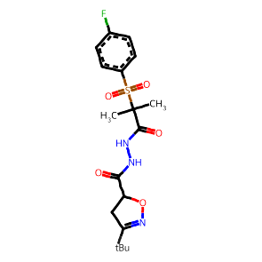 CC(C)(C)C1=NOC(C(=O)NNC(=O)C(C)(C)S(=O)(=O)c2ccc(F)cc2)C1